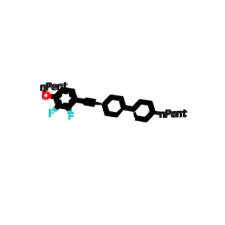 CCCCCOc1ccc(C#C[C@H]2CC[C@H]([C@H]3CC[C@H](CCCCC)CC3)CC2)c(F)c1F